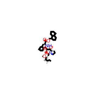 CC[C@H](C)[C@H](C)[C@@H](CC(=O)N1CCC[C@H]1[C@H](OC)[C@@H](C)C(=O)N[C@@H](Cc1ccccc1)C(=O)OCc1cccc2ccccc12)OC